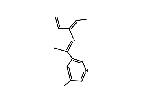 C=CC(=C/C)/N=C(\C)c1cncc(C)c1